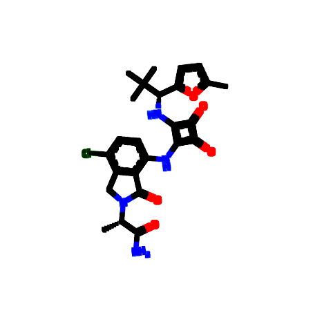 Cc1ccc([C@H](Nc2c(Nc3ccc(Cl)c4c3C(=O)N([C@@H](C)C(N)=O)C4)c(=O)c2=O)C(C)(C)C)o1